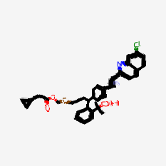 CC(C)(O)c1ccccc1C(CCSCOC(=O)CC1CC1)c1ccc(/C=C/c2ccc3ccc(Cl)cc3n2)cc1